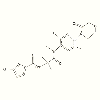 Cc1cc(N(C)C(=O)C(C)(C)NC(=O)c2ccc(Cl)s2)c(F)cc1N1CCOCC1=O